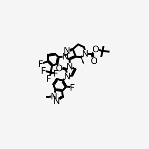 C[C@H]1c2c(nn(-c3ccc(F)c(C(F)(F)F)c3)c2-n2ccn(-c3ccc4c(cnn4C)c3F)c2=O)CCN1C(=O)OC(C)(C)C